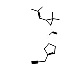 C#CCC1=CC[C@@H](OC(=O)[C@@H]2C(C=C(C)C)C2(C)C)C1